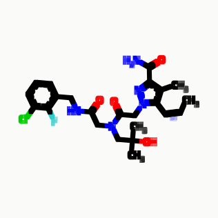 C/C=C\c1c(C)c(C(N)=O)nn1CC(=O)N(CC(=O)NCc1cccc(Cl)c1F)CC(C)(C)O